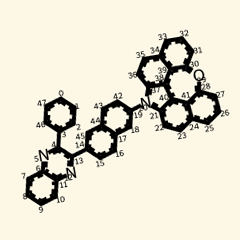 c1ccc(-c2nc3ccccc3nc2-c2ccc3cc(-n4c5ccc6cccc7oc8cccc9ccc4c(c98)c5c67)ccc3c2)cc1